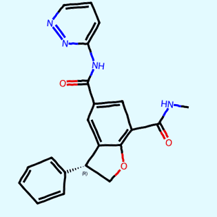 CNC(=O)c1cc(C(=O)Nc2cccnn2)cc2c1OC[C@@H]2c1ccccc1